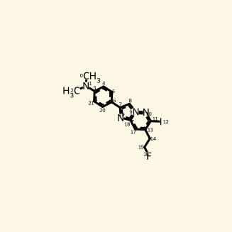 CN(C)c1ccc(-c2cn3nc(I)c(CCF)cc3n2)cc1